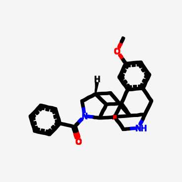 COc1ccc2c(c1)C13CCNC(C2)C12CCC1C3[C@H](CN1C(=O)c1ccccc1)C2